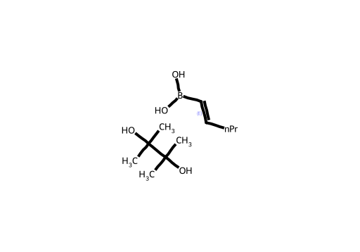 CC(C)(O)C(C)(C)O.CCC/C=C/B(O)O